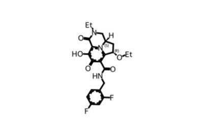 CCO[C@@H]1C[C@H]2CN(CC)C(=O)c3c(O)c(=O)c(C(=O)NCc4ccc(F)cc4F)c1n32